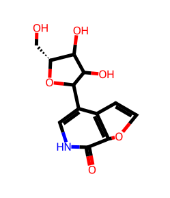 O=c1[nH]cc(C2O[C@H](CO)C(O)C2O)c2ccoc12